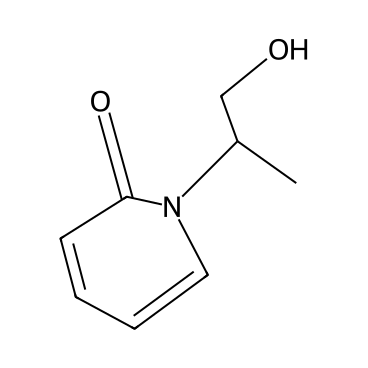 CC(CO)n1ccccc1=O